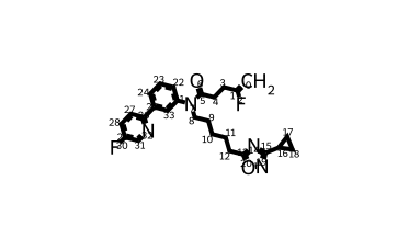 C=C(F)CCC(=O)N(CCCCCc1nc(C2CC2)no1)c1cccc(-c2ccc(F)cn2)c1